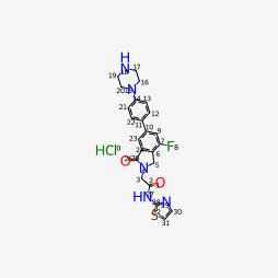 Cl.O=C(CN1Cc2c(F)cc(-c3ccc(N4CCNCC4)cc3)cc2C1=O)Nc1nccs1